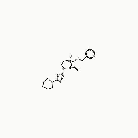 O=C1N2C[C@@H](CC[C@H]2c2nnc(C3CCCCC3)s2)N1OCc1ccccc1